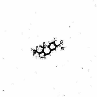 O=[N+]([O-])c1cc(Cc2n[nH]c(C(F)(F)F)c2C(F)(F)F)c(F)cc1Cl